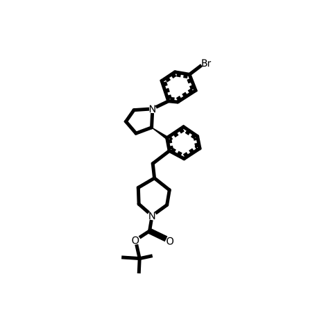 CC(C)(C)OC(=O)N1CCC(Cc2ccccc2[C@H]2CCCN2c2ccc(Br)cc2)CC1